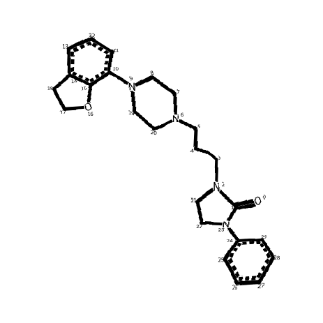 O=C1N(CCCN2CCN(c3cccc4c3OCC4)CC2)CCN1c1ccccc1